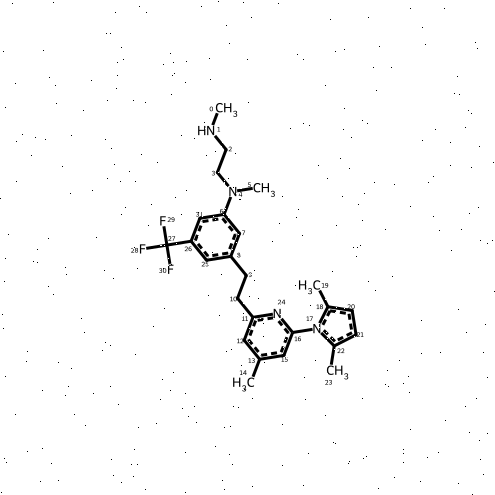 CNCCN(C)c1cc(CCc2cc(C)cc(-n3c(C)ccc3C)n2)cc(C(F)(F)F)c1